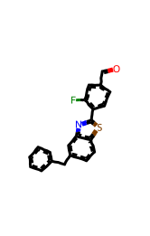 O=Cc1ccc(-c2nc3cc(Cc4ccccc4)ccc3s2)c(F)c1